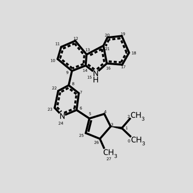 CC(C)[C@@H]1CC(c2cc(-c3cccc4c3[nH]c3ccccc34)ccn2)=CC1C